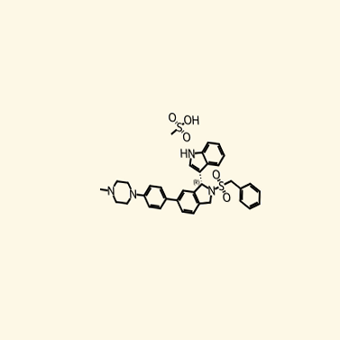 CN1CCN(c2ccc(-c3ccc4c(c3)[C@H](c3c[nH]c5ccccc35)N(S(=O)(=O)Cc3ccccc3)C4)cc2)CC1.CS(=O)(=O)O